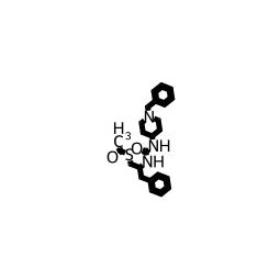 CC(=O)SCC(Cc1ccccc1)NC(=O)NC1CCN(Cc2ccccc2)CC1